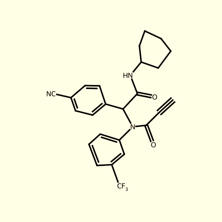 C#CC(=O)N(c1cccc(C(F)(F)F)c1)C(C(=O)NC1CCCCC1)c1ccc(C#N)cc1